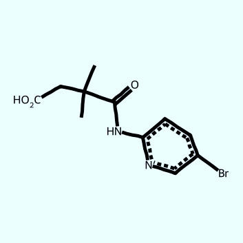 CC(C)(CC(=O)O)C(=O)Nc1ccc(Br)cn1